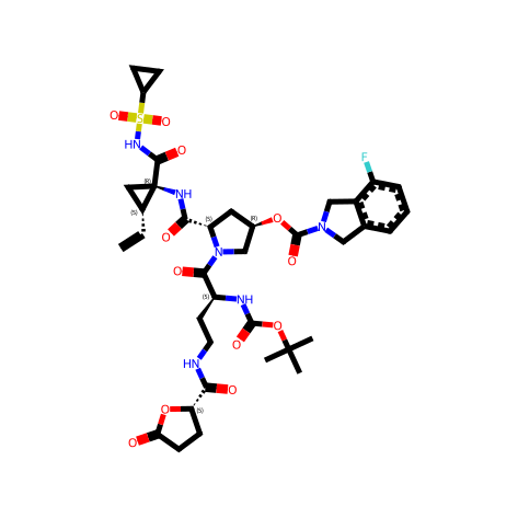 C=C[C@@H]1C[C@]1(NC(=O)[C@@H]1C[C@@H](OC(=O)N2Cc3cccc(F)c3C2)CN1C(=O)[C@H](CCNC(=O)[C@@H]1CCC(=O)O1)NC(=O)OC(C)(C)C)C(=O)NS(=O)(=O)C1CC1